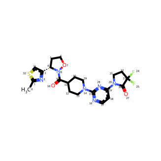 Cc1nc([C@@H]2CCON2C(=O)C2CCN(c3nccc(N4CCC(F)(F)C4=O)n3)CC2)cs1